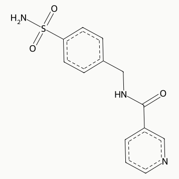 NS(=O)(=O)c1ccc(CNC(=O)c2cccnc2)cc1